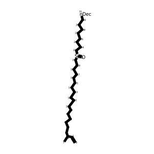 C=CC(C)CCCCCCCCCCCCCCCCC[Si](=O)CCCCCCCCCCCCCCCCCC